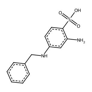 Nc1cc(NCc2ccccc2)ccc1S(=O)(=O)O